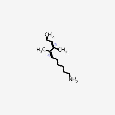 C=C/C=C(C)\C(C)=C/CCCCCN